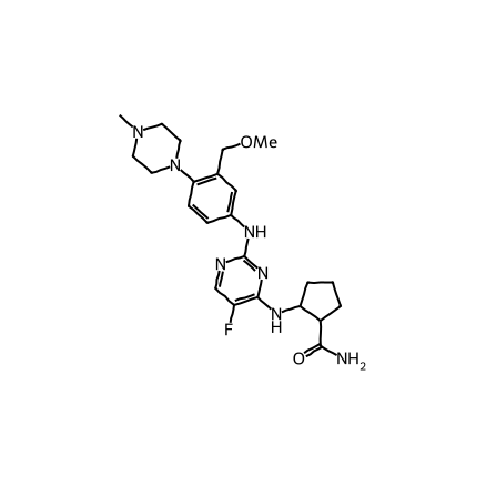 COCc1cc(Nc2ncc(F)c(NC3CCCC3C(N)=O)n2)ccc1N1CCN(C)CC1